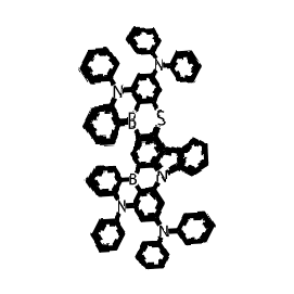 c1ccc(N(c2ccccc2)c2cc3c4c(c2)N(c2ccccc2)c2ccccc2B4c2cc4c5c(c2S3)c2ccccc2n5-c2cc(N(c3ccccc3)c3ccccc3)cc3c2B4c2ccccc2N3c2ccccc2)cc1